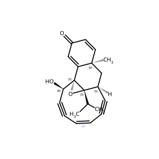 CC(C)[C@@]12O[C@]13C1=CC(=O)C=C[C@@]1(C)C[C@H]2C#C/C=C\C#C[C@H]3O